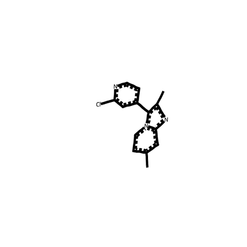 Cc1ccn2c(-c3ccnc(Cl)c3)c(C)nc2c1